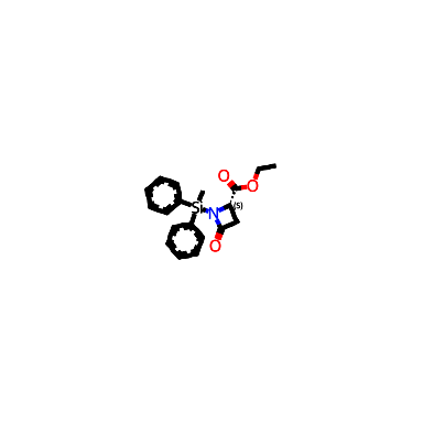 CCOC(=O)[C@@H]1CC(=O)N1[Si](C)(c1ccccc1)c1ccccc1